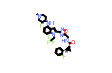 CN1CC[C@@H](Nc2cccc3c2cc(-c2noc(CNC(=O)[C@@H]4C[C@H]4c4ccccc4F)n2)n3CC(F)(F)F)[C@@H](F)C1